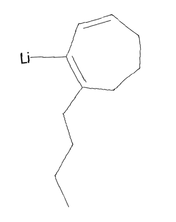 [Li][C]1=C(CCCC)CCCC=C1